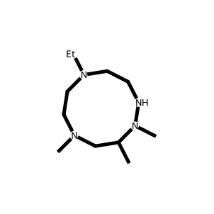 CCN1CCNN(C)C(C)CN(C)CC1